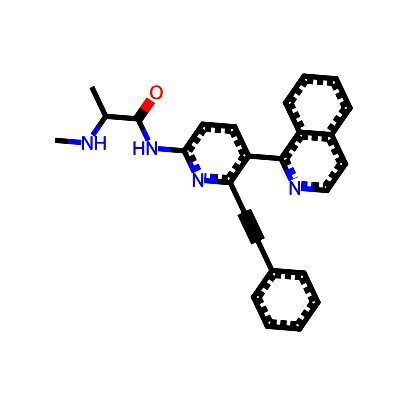 CNC(C)C(=O)Nc1ccc(-c2nccc3ccccc23)c(C#Cc2ccccc2)n1